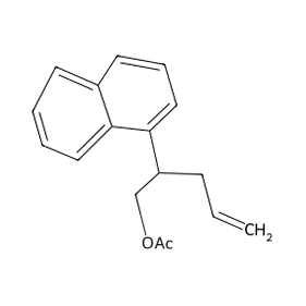 C=CCC(COC(C)=O)c1cccc2ccccc12